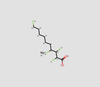 O=C([O-])C(F)C(F)C(F)CCCCCCF.[Na+]